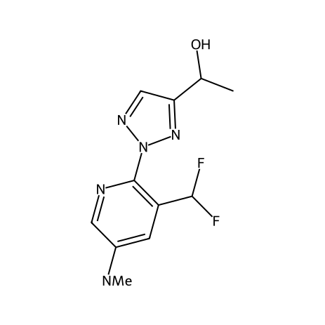 CNc1cnc(-n2ncc(C(C)O)n2)c(C(F)F)c1